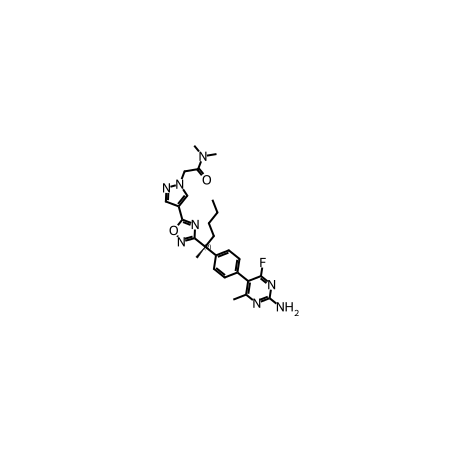 CCCC[C@](C)(c1ccc(-c2c(C)nc(N)nc2F)cc1)c1noc(-c2cnn(CC(=O)N(C)C)c2)n1